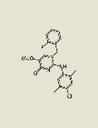 COc1cn(Cc2ccccc2F)c(Nc2cc(C)c(Cl)cc2C)nc1=O